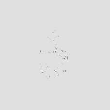 CCc1cc(OC)c(OCc2ccccc2)cc1C=CC1NCCc2cc(OCc3ccccc3)c(OC)cc21